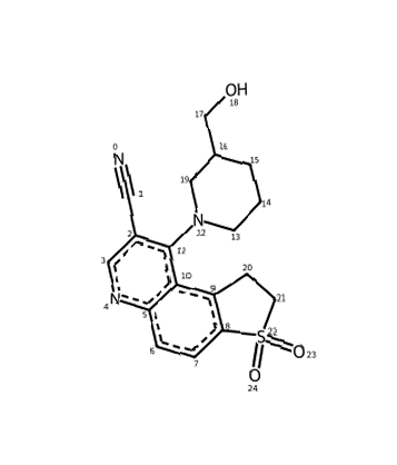 N#Cc1cnc2ccc3c(c2c1N1CCCC(CO)C1)CCS3(=O)=O